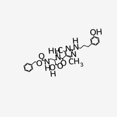 Cc1nc(NCCCc2cccc(O)c2)nc(C)c1C(=O)NC(CNC(=O)OCc1ccccc1)C(=O)O